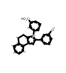 O=C(O)c1cccc(-n2c(-c3cccc(Cl)c3)cc3c2CCc2ccccc2-3)c1